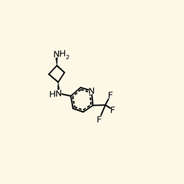 N[C@H]1C[C@@H](Nc2ccc(C(F)(F)F)nc2)C1